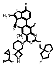 C[C@H]1CC[C@]2(CN[C@@H]2C2(C(F)F)CC2)CN1c1nc(OC[C@@]23CCCN2C[C@H](F)C3)nc2c(F)c(-c3ccc(F)c4sc(N)c(C#N)c34)c(Cl)cc12